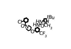 Cn1nc(C(C)(C)C)cc1NC(=O)Nc1cc(OC2CCN(C(=O)c3ccccc3Cl)CC2)cc(C(F)(F)F)c1